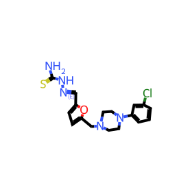 NC(=S)N/N=C/c1ccc(CN2CCN(c3cccc(Cl)c3)CC2)o1